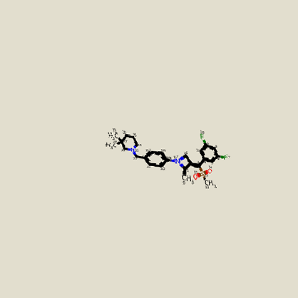 CC1/C(=C(/c2cc(F)cc(F)c2)S(C)(=O)=O)CN1c1ccc(CN2CCCC(C)(C)C2)cc1